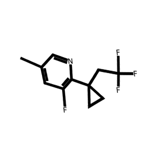 Cc1cnc(C2(CC(F)(F)F)CC2)c(F)c1